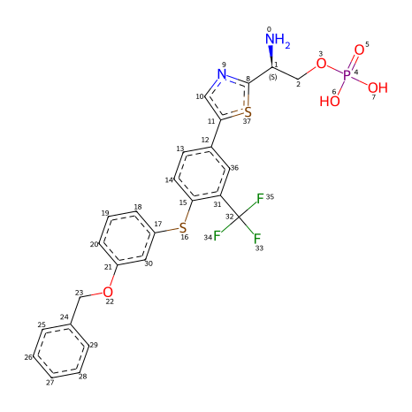 N[C@@H](COP(=O)(O)O)c1ncc(-c2ccc(Sc3cccc(OCc4ccccc4)c3)c(C(F)(F)F)c2)s1